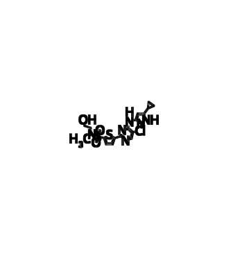 CN(CCO)S(=O)(=O)c1ccc(-c2ncc(Cl)c(Nc3cc(C4CC4)[nH]n3)n2)s1